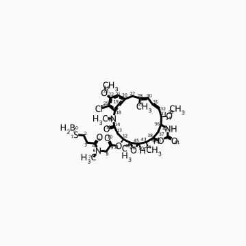 BSCCC(=O)N(C)CC(=O)O[C@H]1CC(=O)N(C)c2cc(cc(OC)c2Cl)C/C(C)=C/C=C/[C@@H](OC)C2C[C@H](OC(=O)N2)[C@@H](C)[C@@H]2O[C@@]12C